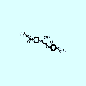 CCOC(=O)N1CCN(CCCOc2ccc(OC)cc2Cl)CC1.Cl